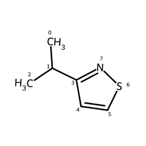 CC(C)c1ccsn1